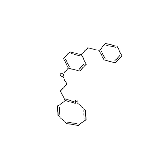 C1=CC=CC(CCOc2ccc(Cc3ccccc3)cc2)=NC=C1